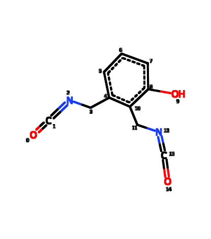 O=C=NCc1cccc(O)c1CN=C=O